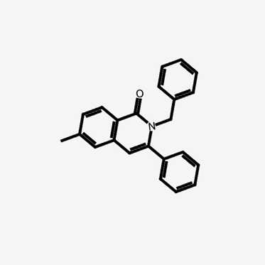 Cc1ccc2c(=O)n(Cc3ccccc3)c(-c3ccccc3)cc2c1